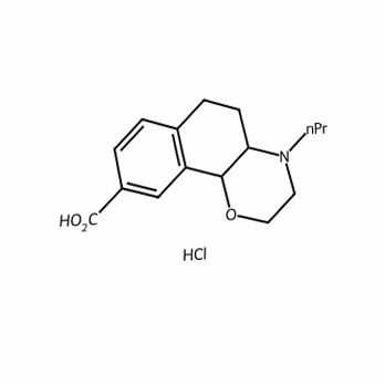 CCCN1CCOC2c3cc(C(=O)O)ccc3CCC21.Cl